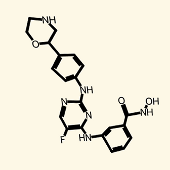 O=C(NO)c1cccc(Nc2nc(Nc3ccc(C4CNCCO4)cc3)ncc2F)c1